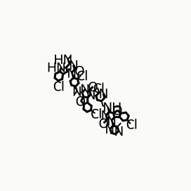 CNc1nc(=O)n(-c2ccc(N(C)c3nc(=O)n(-c4cc(CNc5nc(=O)n(-c6nccnc6C)c6c5oc5ccc(Cl)cc56)cnc4Cl)c4c3oc3ccc(Cl)cc34)cc2Cl)c2c1[nH]c1ccc(Cl)cc12